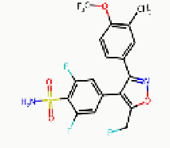 Cc1cc(-c2noc(CF)c2-c2cc(F)c(S(N)(=O)=O)c(F)c2)ccc1OC(F)(F)F